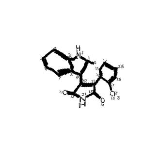 Cc1[nH]c2ccccc2c1C1=C(c2ccccc2C(F)(F)F)C(=O)NC1=O